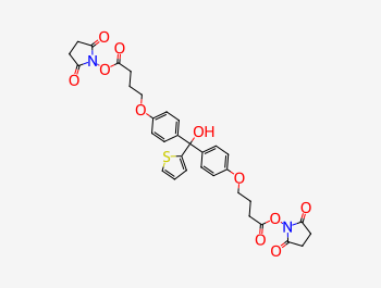 O=C(CCCOc1ccc(C(O)(c2ccc(OCCCC(=O)ON3C(=O)CCC3=O)cc2)c2cccs2)cc1)ON1C(=O)CCC1=O